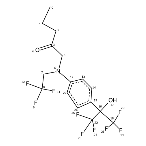 CCCC(=O)CN(CC(F)(F)F)c1ccc(C(O)(C(F)(F)F)C(F)(F)F)cc1